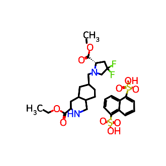 CCOC(=O)C1CC2CC(CN3CC(F)(F)C[C@H]3C(=O)OCC)CCC2CN1.O=S(=O)(O)c1cccc2c(S(=O)(=O)O)cccc12